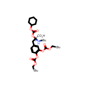 CCC(C)N[C@@](Cc1ccc(OC(=O)OCC(C)(C)C)c(OC(=O)OCC(C)(C)C)c1)(OC(=O)OC1CCCCC1)C(=O)O